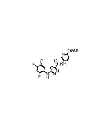 COc1ccc(NC(=O)c2nnc(Nc3cc(F)c(F)cc3F)o2)cn1